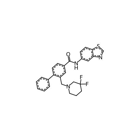 O=C(Nc1ccc2scnc2c1)c1ccc(-c2ccccc2)c(CN2CCCC(F)(F)C2)c1